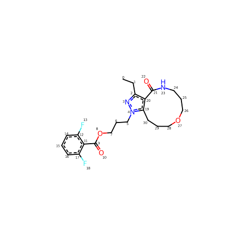 CCc1nn(CCCOC(=O)c2c(F)cccc2F)c2c1C(=O)NCCCOCCC2